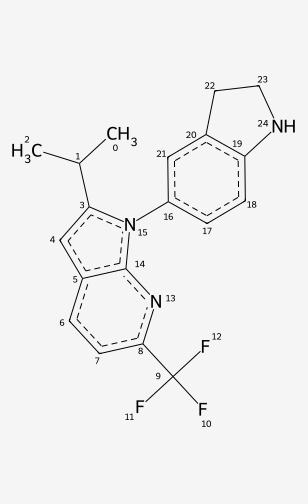 CC(C)c1cc2ccc(C(F)(F)F)nc2n1-c1ccc2c(c1)CCN2